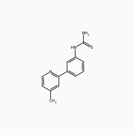 Cc1ccnc(-c2cccc(NC(N)=S)c2)c1